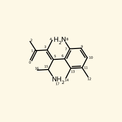 C=C(C)/C(C)=C(/c1c(N)ccc(C)c1C)C(C)N